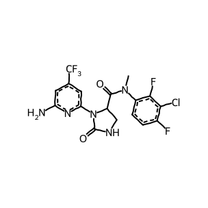 CN(C(=O)C1CNC(=O)N1c1cc(C(F)(F)F)cc(N)n1)c1ccc(F)c(Cl)c1F